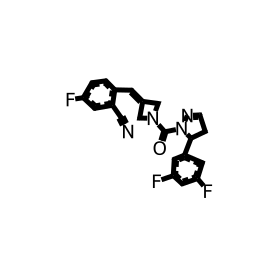 N#Cc1cc(F)ccc1C=C1CN(C(=O)N2N=CCC2c2cc(F)cc(F)c2)C1